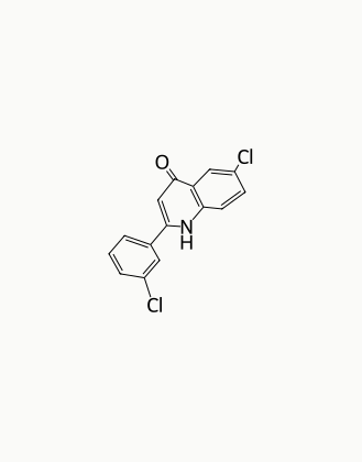 O=c1cc(-c2cccc(Cl)c2)[nH]c2ccc(Cl)cc12